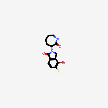 O=C1NCCCC[C@@H]1N1Cc2c(ccc(F)c2Br)C1=O